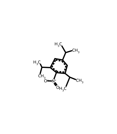 CC(C)c1cc(C(C)C)c([N+](=O)[O-])c(C(C)C)c1